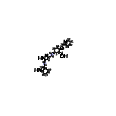 OCc1cc(/C=C/c2cc(/C=C/c3c[nH]c4ccccc34)[nH]n2)ccc1OCc1ccccn1